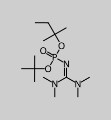 CCC(C)(C)OP(=O)(N=C(N(C)C)N(C)C)OC(C)(C)C